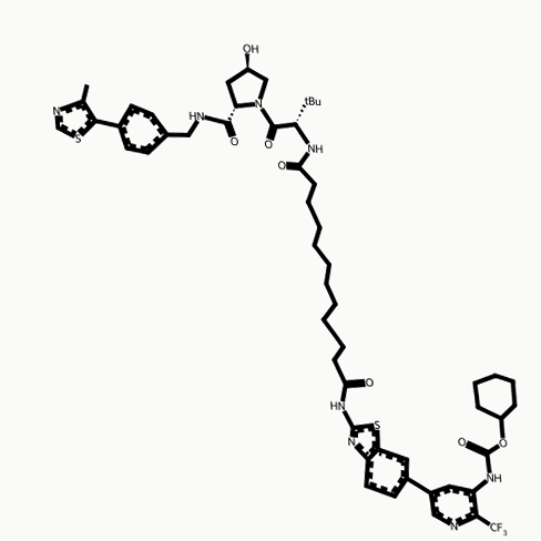 Cc1ncsc1-c1ccc(CNC(=O)[C@@H]2C[C@@H](O)CN2C(=O)[C@@H](NC(=O)CCCCCCCCCCC(=O)Nc2nc3ccc(-c4cnc(C(F)(F)F)c(NC(=O)OC5CCCCC5)c4)cc3s2)C(C)(C)C)cc1